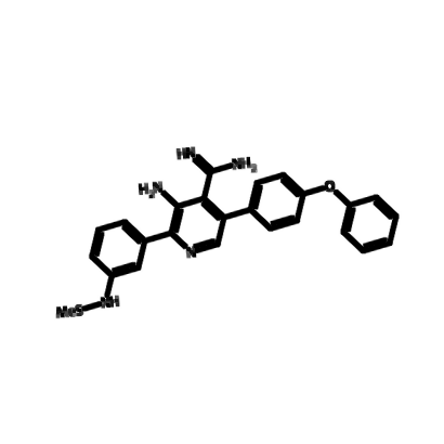 CSNc1cccc(-c2ncc(-c3ccc(Oc4ccccc4)cc3)c(C(=N)N)c2N)c1